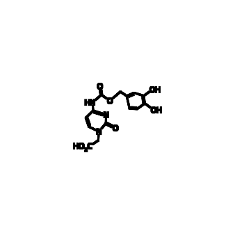 O=C(O)Cn1ccc(NC(=O)OCc2ccc(O)c(O)c2)nc1=O